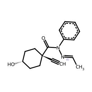 C#C[C@]1(C(=O)N(/N=C/C)c2ccccc2)CC[C@@H](O)CC1